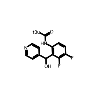 CC(C)(C)C(=O)Nc1ccc(F)c(F)c1C(O)c1ccncc1